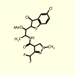 COC(C(C)NC(=O)C1CN(C)N=C1C(F)F)C1Sc2ccc(Cl)cc2C1Cl